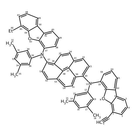 C#Cc1cccc2c1oc1c(N(c3cc(C)cc(C)c3)c3ccc4ccc5c(N(c6cc(C)cc(C)c6)c6cccc7c6oc6c(CC)cccc67)ccc6ccc3c4c65)cccc12